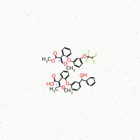 CO/C(C)=C(/C(=O)O)c1ccccc1Oc1cccc(C(O)c2ccccc2)c1.CO/C=C(/C(=O)OC)c1ccccc1Oc1cccc(OC(F)(F)C(F)F)c1